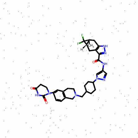 C[C@@]12Cc3[nH]nc(C(=O)Nc4cnn(C5CCC(CN6CCc7cc(N8CCC(=O)NC8=O)ccc7C6)CC5)c4)c3C[C@@H]1C2(F)F